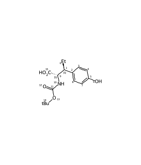 CC[C@@H](c1ccc(O)cc1)[C@H](NC(=O)OC(C)(C)C)C(=O)O